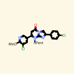 CCCCCn1c(-c2cnc(OC)c(Cl)c2)cc(=O)n2cc(-c3ccc(Cl)cc3)nc12